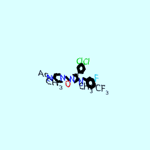 CC(=O)N(C)C1CCN(CC(=O)N2C[C@H](c3ccc(Cl)c(Cl)c3)[C@@H](N(C)Cc3ccc(C(F)(F)F)c(F)c3)C2)CC1